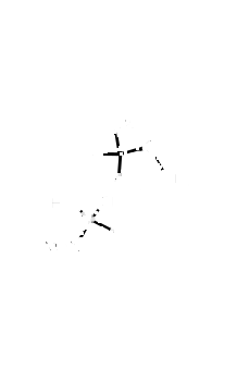 CCCCC(C)(C)O[SiH3].CN[Si](C)(C)C